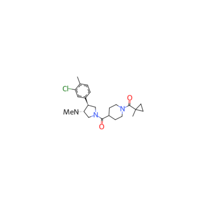 CN[C@H]1CN(C(=O)C2CCN(C(=O)C3(C)CC3)CC2)C[C@@H]1c1ccc(C)c(Cl)c1